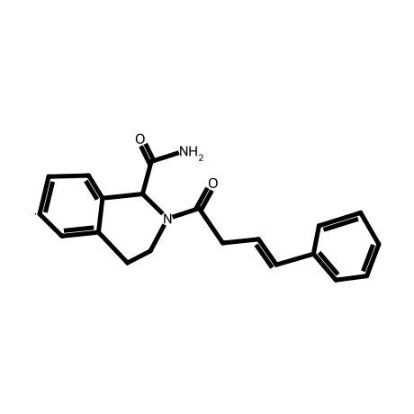 NC(=O)C1c2cc[c]cc2CCN1C(=O)CC=Cc1ccccc1